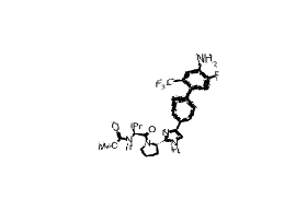 COC(=O)N[C@H](C(=O)N1CCC[C@H]1c1nc(-c2ccc(-c3cc(F)c(N)cc3C(F)(F)F)cc2)c[nH]1)C(C)C